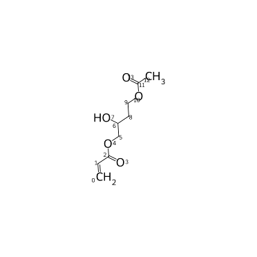 C=CC(=O)OCC(O)CCOC(C)=O